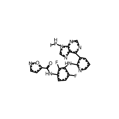 O=C(Nc1ccc(F)c(Nc2ncccc2-c2ncnc3c2ncn3PI)c1F)c1ccno1